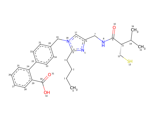 CCCCc1nc(CNC(=O)[C@@H](CS)C(C)C)cn1Cc1ccc(-c2ccccc2C(=O)O)cc1